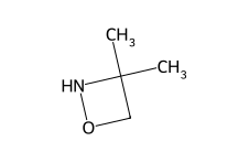 CC1(C)CON1